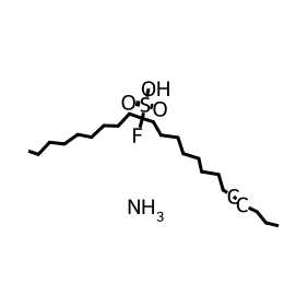 CCCCCCCCCCCCCC(F)(CCCCCCCCC)S(=O)(=O)O.N